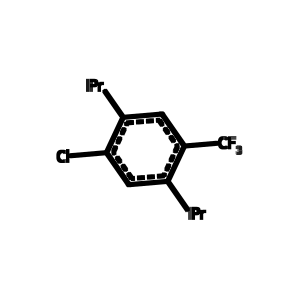 CC(C)c1cc(C(F)(F)F)c(C(C)C)cc1Cl